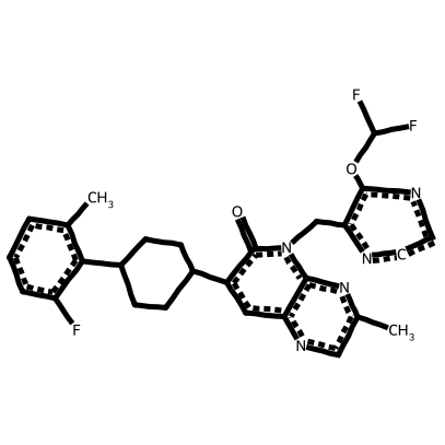 Cc1cnc2cc(C3CCC(c4c(C)cccc4F)CC3)c(=O)n(Cc3nccnc3OC(F)F)c2n1